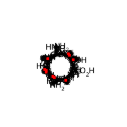 CC(C)[C@@H]1NC(=O)[C@H](Cc2ccccc2)NC(=O)CSC[C@@H](C(=O)NCC(N)=O)NC(=O)[C@@H]2CCCN2C(=O)[C@H](Cc2ccccc2)N(C)C(=O)[C@H]([C@@H](C)O)NC(=O)[C@H](Cc2c[nH]c3ccccc23)NC(=O)[C@H](C)NC(=O)[C@H](CCCNC(=N)N)NC(=O)CN(C)C(=O)[C@H](Cc2ccccc2)N(C)C(=O)[C@H](Cc2ccc(O)cc2)NC(=O)CN(C)C(=O)[C@H](CCC(=O)O)NC1=O